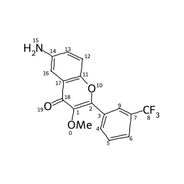 COc1c(-c2cccc(C(F)(F)F)c2)oc2ccc(N)cc2c1=O